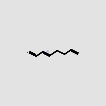 [CH]=C/C=C/CCC=C